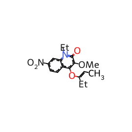 CC=C(CC)Oc1c(OC)c(=O)n(CC)c2cc([N+](=O)[O-])ccc12